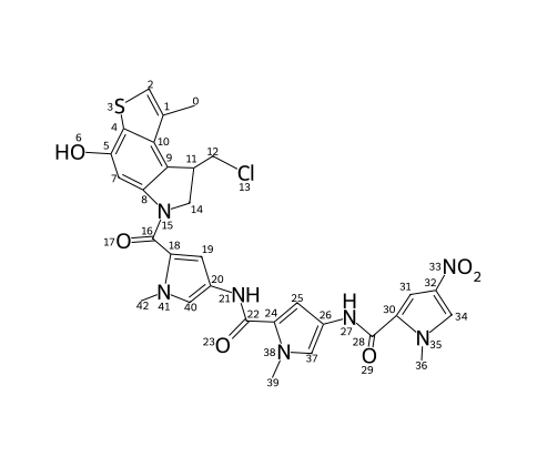 Cc1csc2c(O)cc3c(c12)C(CCl)CN3C(=O)c1cc(NC(=O)c2cc(NC(=O)c3cc([N+](=O)[O-])cn3C)cn2C)cn1C